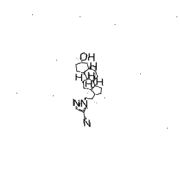 C[C@H](Cn1cc(C#N)cn1)C1CC[C@H]2[C@@H]3CC[C@@H]4C[C@](C)(O)CC[C@@H]4[C@H]3CC[C@]12C